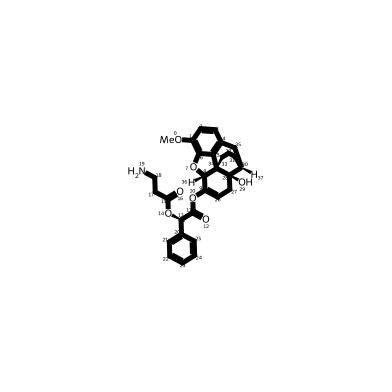 COc1ccc2c3c1O[C@H]1C(OC(=O)[C@H](OC(=O)CCN)c4ccccc4)=CC[C@@]4(O)[C@H](CCC[C@]314)C2